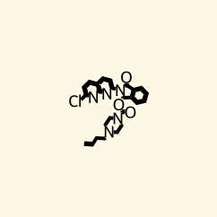 C=CCCN1CCN(C(=O)OC2c3ccccc3C(=O)N2c2ccc3ccc(Cl)nc3n2)CC1